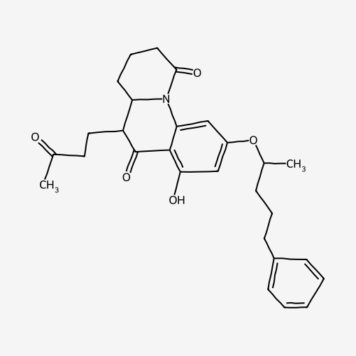 CC(=O)CCC1C(=O)c2c(O)cc(OC(C)CCCc3ccccc3)cc2N2C(=O)CCCC12